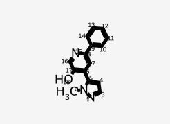 Cn1nccc1-c1cc(-c2ccccc2)ncc1O